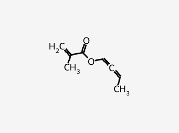 C=C(C)C(=O)OC=C=CC